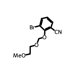 COCCOCOc1c(Br)cccc1C#N